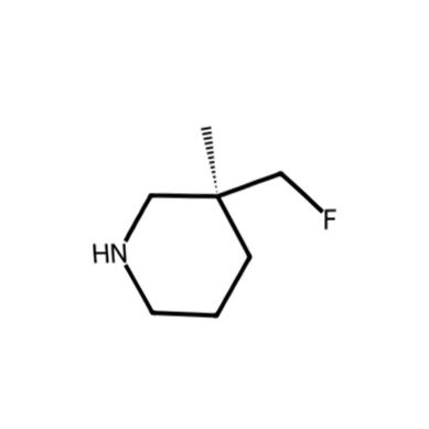 C[C@]1(CF)CCCNC1